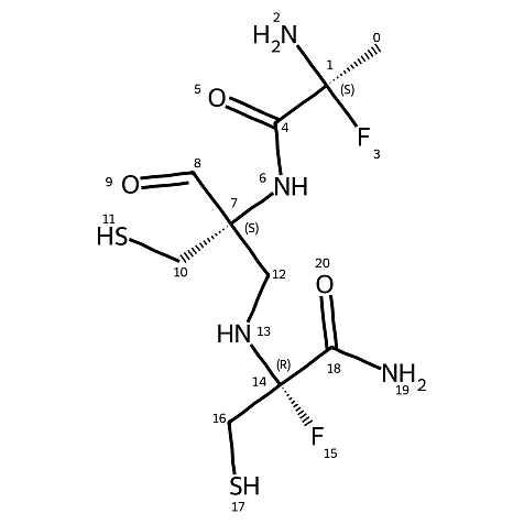 C[C@](N)(F)C(=O)N[C@@](C=O)(CS)CN[C@](F)(CS)C(N)=O